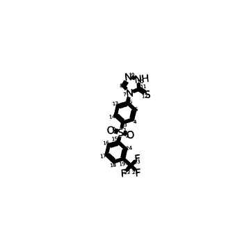 O=S(=O)(c1ccc(-n2cn[nH]c2=S)cc1)c1cccc(C(F)(F)F)c1